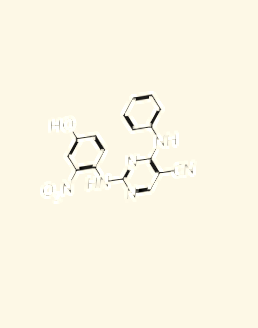 N#Cc1cnc(Nc2ccc(O)cc2[N+](=O)[O-])nc1Nc1ccccc1